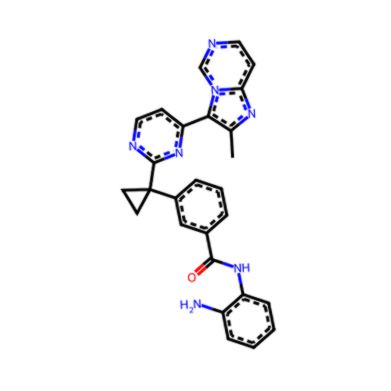 Cc1nc2ccncn2c1-c1ccnc(C2(c3cccc(C(=O)Nc4ccccc4N)c3)CC2)n1